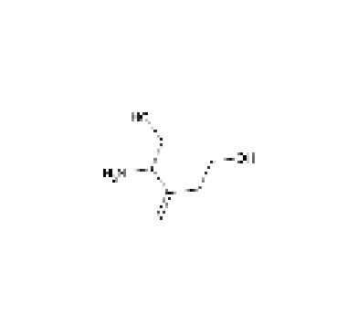 C=C(CCO)C(N)CO